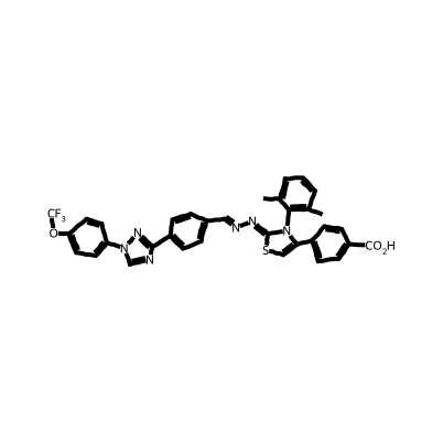 Cc1cccc(C)c1-n1c(-c2ccc(C(=O)O)cc2)cs/c1=N\N=C\c1ccc(-c2ncn(-c3ccc(OC(F)(F)F)cc3)n2)cc1